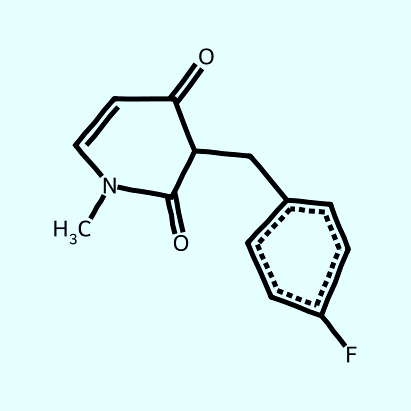 CN1C=CC(=O)C(Cc2ccc(F)cc2)C1=O